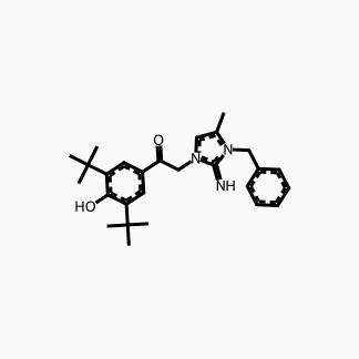 Cc1cn(CC(=O)c2cc(C(C)(C)C)c(O)c(C(C)(C)C)c2)c(=N)n1Cc1ccccc1